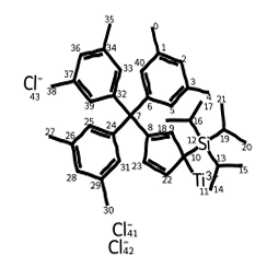 Cc1cc(C)cc(C(C2=C[C]([Ti+3])([Si](C(C)C)(C(C)C)C(C)C)C=C2)(c2cc(C)cc(C)c2)c2cc(C)cc(C)c2)c1.[Cl-].[Cl-].[Cl-]